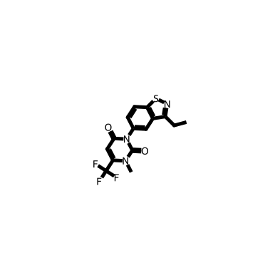 CCc1nsc2ccc(-n3c(=O)cc(C(F)(F)F)n(C)c3=O)cc12